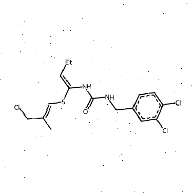 CC/C=C(\NC(=O)NCc1ccc(Cl)c(Cl)c1)S/C=C(\C)CCl